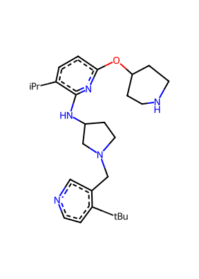 CC(C)c1ccc(OC2CCNCC2)nc1NC1CCN(Cc2cnccc2C(C)(C)C)C1